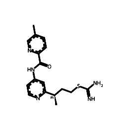 Cc1ccc(C(=O)Nc2ccnc([C@H](C)CCSC(=N)N)c2)nc1